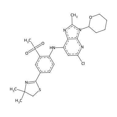 Cc1nc2c(Nc3ccc(C4=NC(C)(C)CS4)cc3S(C)(=O)=O)cc(Cl)nc2n1C1CCCCO1